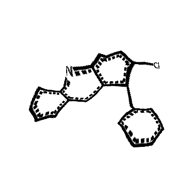 Clc1ccc2nc3ccccc3cc2c1-c1ccccc1